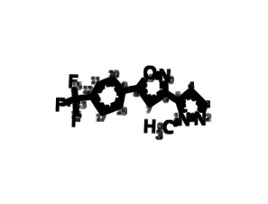 Cn1nccc1-c1cc(-c2ccc(C(F)(F)F)cc2)on1